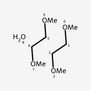 COCCOC.COCCOC.O